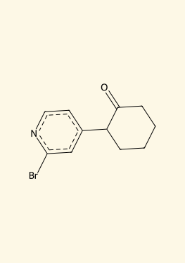 O=C1CCCCC1c1ccnc(Br)c1